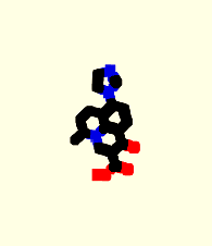 CC1CCc2c(-n3ccnc3)ccc3c(=O)c(C(=O)O)cn1c23